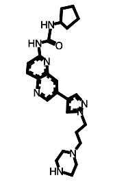 O=C(Nc1ccc2ncc(-c3cnn(CCCN4CCNCC4)c3)cc2n1)NC1CCCC1